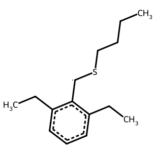 CCCCS[CH]c1c(CC)cccc1CC